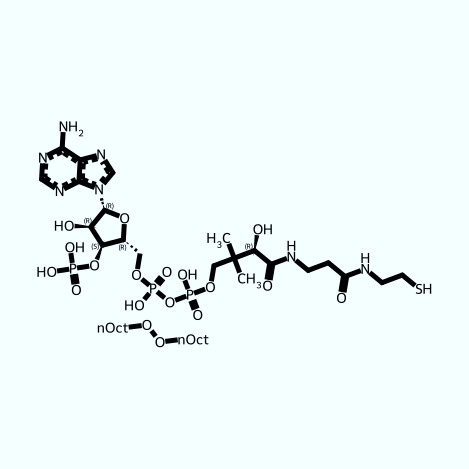 CC(C)(COP(=O)(O)OP(=O)(O)OC[C@H]1O[C@@H](n2cnc3c(N)ncnc32)[C@H](O)[C@@H]1OP(=O)(O)O)[C@@H](O)C(=O)NCCC(=O)NCCS.CCCCCCCCOOCCCCCCCC